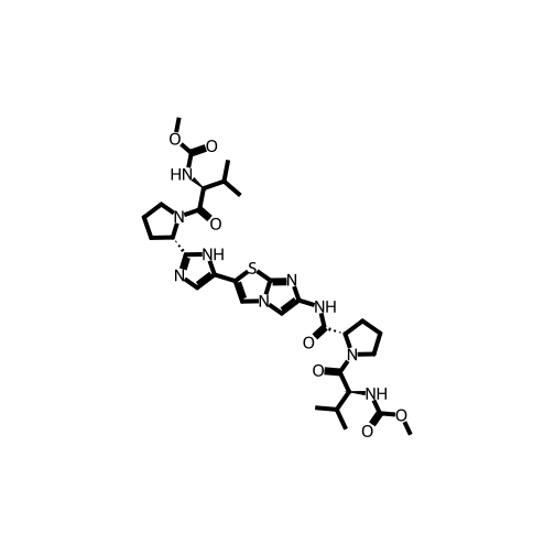 COC(=O)N[C@H](C(=O)N1CCC[C@H]1C(=O)Nc1cn2cc(-c3cnc([C@@H]4CCCN4C(=O)[C@@H](NC(=O)OC)C(C)C)[nH]3)sc2n1)C(C)C